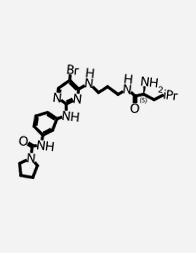 CC(C)C[C@H](N)C(=O)NCCCNc1nc(Nc2cccc(NC(=O)N3CCCC3)c2)ncc1Br